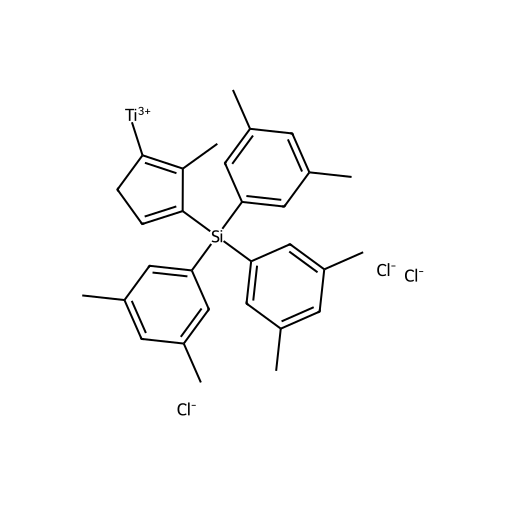 CC1=[C]([Ti+3])CC=C1[Si](c1cc(C)cc(C)c1)(c1cc(C)cc(C)c1)c1cc(C)cc(C)c1.[Cl-].[Cl-].[Cl-]